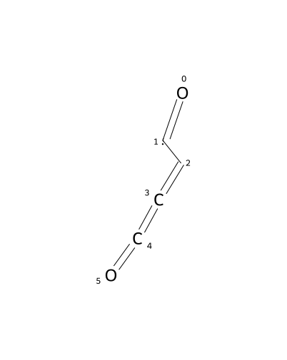 O=[C]C=C=C=O